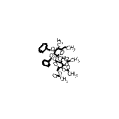 CCC1O[C@](C)(O[C@H]2OC(COC(C)=O)[C@@H](OC(C)=O)C(OC(C)=O)C2F)C(OCc2ccccc2)[C@@H](OCc2ccccc2)[C@H]1C